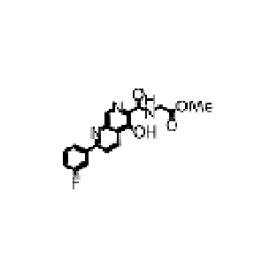 COC(=O)CNC(=O)c1ncc2nc(-c3cccc(F)c3)ccc2c1O